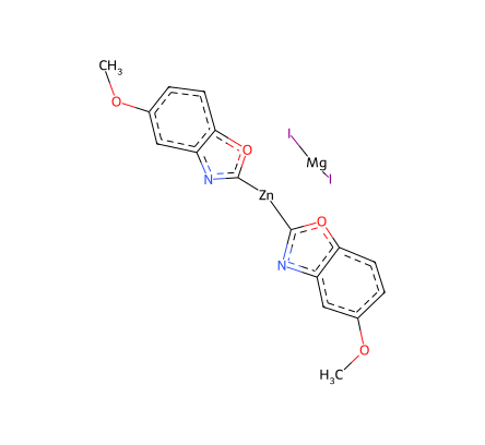 COc1ccc2o[c]([Zn][c]3nc4cc(OC)ccc4o3)nc2c1.[I][Mg][I]